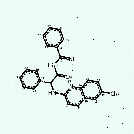 N=C(NC(=O)C(Nc1ccc2cc(Cl)ccc2n1)c1ccccc1)c1ccccc1